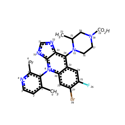 Cc1ccnc(C(C)C)c1-n1c2ncnc-2c(N2CCN(C(=O)O)CC2C)c2cc(F)c(Br)cc21